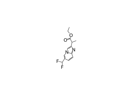 CCOC(=O)C(C)c1cn2cc(C(F)F)ccc2n1